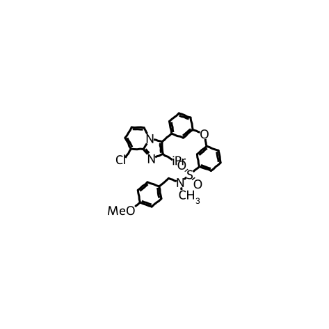 COc1ccc(CN(C)S(=O)(=O)c2cccc(Oc3cccc(-c4c(C(C)C)nc5c(Cl)cccn45)c3)c2)cc1